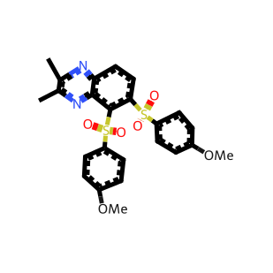 COc1ccc(S(=O)(=O)c2ccc3nc(C)c(C)nc3c2S(=O)(=O)c2ccc(OC)cc2)cc1